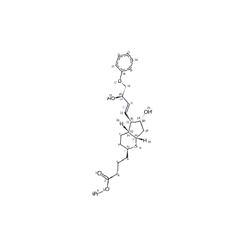 CC(C)OC(=O)CCC[C@H]1CC[C@@H]2[C@@H](/C=C/[C@@H](O)COc3ccccc3)[C@H](O)C[C@@H]2S1